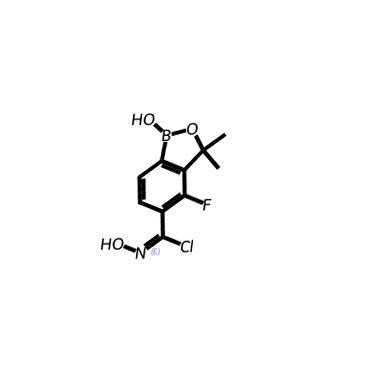 CC1(C)OB(O)c2ccc(/C(Cl)=N\O)c(F)c21